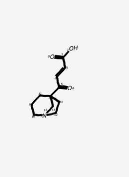 O=C(O)C=CC(=O)C12CCCN(CC1)C2